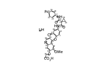 COc1cc2c(Oc3ccc(NC(=O)C4(C(=O)Nc5ccc(F)cc5)CC4)cc3Cl)ccnc2cc1OCC(=O)O.[LiH]